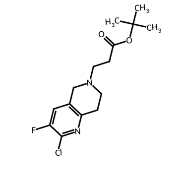 CC(C)(C)OC(=O)CCN1CCc2nc(Cl)c(F)cc2C1